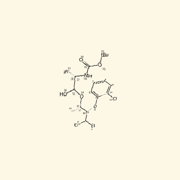 CCC(CC)[C@@H](Oc1ccccc1Cl)[C@H](C)OC(O)[C@@H](NC(=O)OC(C)(C)C)C(C)C